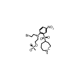 CN1CCCC(S(=O)(=O)c2cc([N+](=O)[O-])ccc2N(CCBr)CCOS(C)(=O)=O)CCC1